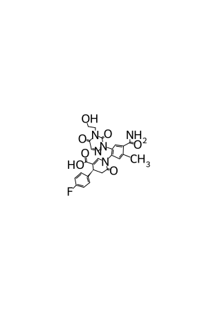 Cc1cc(N2C=C(C(=O)O)[C@H](c3ccc(F)cc3)CC2=O)c(-n2ncc(=O)n(CCO)c2=O)cc1C(N)=O